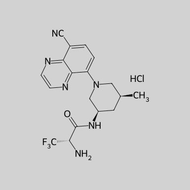 C[C@H]1C[C@@H](NC(=O)[C@H](N)C(F)(F)F)CN(c2ccc(C#N)c3nccnc23)C1.Cl